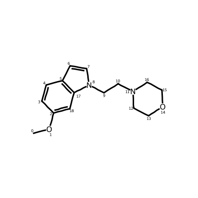 COc1ccc2ccn(CCN3CCOCC3)c2c1